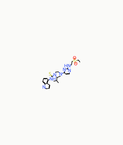 CCS(=O)(=O)CCNc1nccc(N2CCN(C(=S)Nc3cccc4ncccc34)C(C(C)C)C2)n1